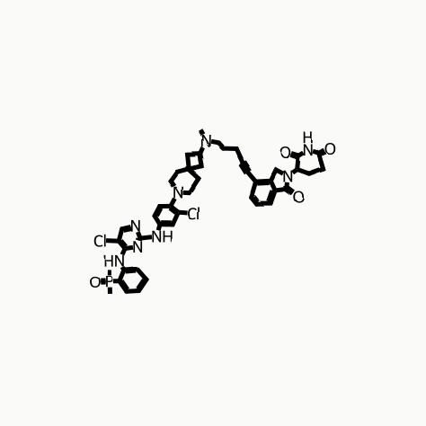 CN(CCCC#Cc1cccc2c1CN(C1CCC(=O)NC1=O)C2=O)C1CC2(CCN(c3ccc(Nc4ncc(Cl)c(Nc5ccccc5P(C)(C)=O)n4)cc3Cl)CC2)C1